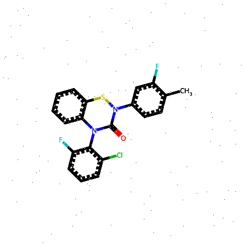 Cc1ccc(N2Sc3ccccc3N(c3c(F)cccc3Cl)C2=O)cc1F